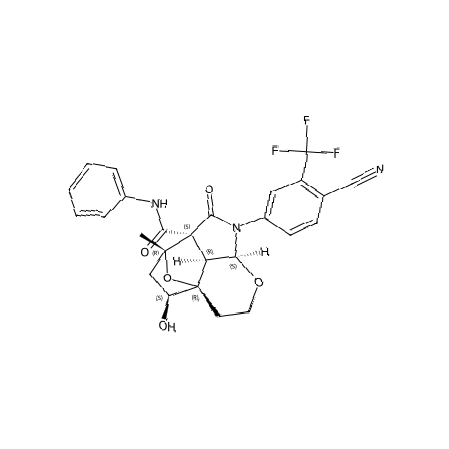 C[C@@]12C[C@H](O)[C@]3(CCO[C@H]4[C@@H]3[C@]1(C(=O)Nc1ccccc1)C(=O)N4c1ccc(C#N)c(C(F)(F)F)c1)O2